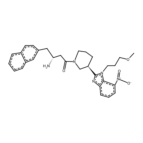 COCCCn1c([C@@H]2CCCN(C(=O)C[C@H](N)Cc3ccc4ccccc4c3)C2)nc2cccc([N+](=O)[O-])c21